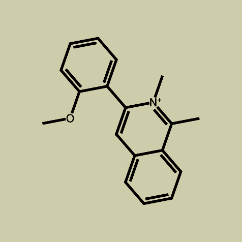 COc1ccccc1-c1cc2ccccc2c(C)[n+]1C